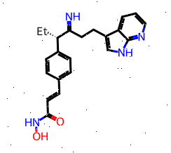 CC[C@H](C(=N)CCc1c[nH]c2ncccc12)c1ccc(/C=C/C(=O)NO)cc1